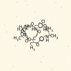 C#CC(C)NCc1ccc([C@H]2O[C@@H]2[C@@H](C)[C@@H]2CC=CC(=O)N[C@H](Cc3ccc(OC)c(Cl)c3)C(=O)NCC(C)(C)C(=O)O[C@@H](CC(C)C)C(=O)O2)cc1